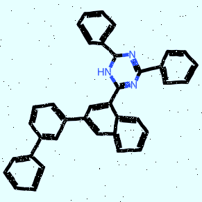 c1ccc(C2=NC(c3ccccc3)NC(c3cc(-c4cccc(-c5ccccc5)c4)cc4ccccc34)=N2)cc1